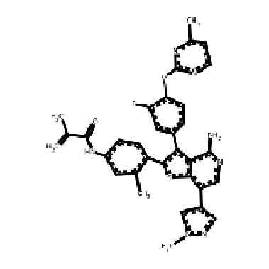 C=C(C)C(=O)Nc1ccc(-c2sc3c(-c4cnn(C)c4)cnc(N)c3c2-c2ccc(Oc3nccc(C)n3)c(F)c2)c(C)c1